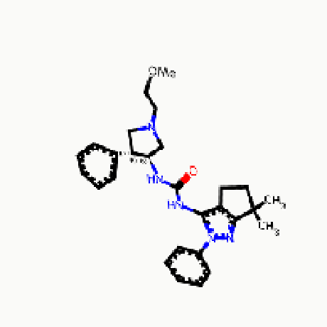 COCCN1C[C@@H](NC(=O)Nc2c3c(nn2-c2ccccc2)C(C)(C)CC3)[C@H](c2ccccc2)C1